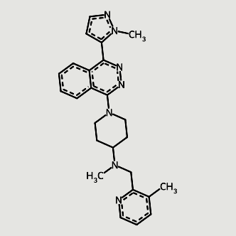 Cc1cccnc1CN(C)C1CCN(c2nnc(-c3ccnn3C)c3ccccc23)CC1